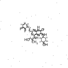 C[C@H](CO)Nc1nc(SCc2cccc(F)c2F)nc2[nH]c(=O)c(NC3CCC(O)CC3)nc12